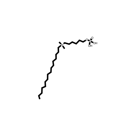 CCCCCCCCCCCCCCCC[N+](C)(C)CCCCCCOP(=O)(O)O